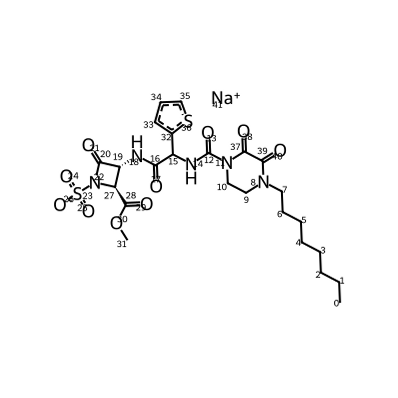 CCCCCCCCN1CCN(C(=O)NC(C(=O)N[C@H]2C(=O)N(S(=O)(=O)[O-])[C@@H]2C(=O)OC)c2cccs2)C(=O)C1=O.[Na+]